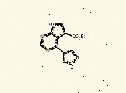 CCOC(=O)c1c[nH]c2ncnc(-c3cn[nH]c3)c12